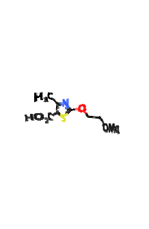 COCCOc1nc(C)c(C(=O)O)s1